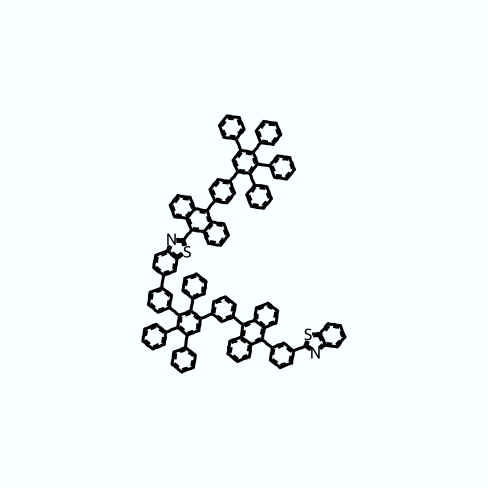 c1ccc(-c2cc(-c3ccc(-c4c5ccccc5c(-c5nc6ccc(-c7cccc(-c8c(-c9ccccc9)c(-c9ccccc9)cc(-c9cccc(-c%10c%11ccccc%11c(-c%11cccc(-c%12nc%13ccccc%13s%12)c%11)c%11ccccc%10%11)c9)c8-c8ccccc8)c7)cc6s5)c5ccccc45)cc3)c(-c3ccccc3)c(-c3ccccc3)c2-c2ccccc2)cc1